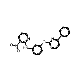 O=[N+]([O-])c1cccnc1Nc1cccc(Oc2nccc(-c3ccccc3)n2)c1